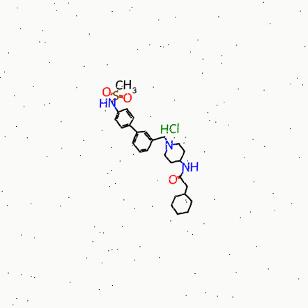 CS(=O)(=O)Nc1ccc(-c2cccc(CN3CCC(NC(=O)CC4CCCCC4)CC3)c2)cc1.Cl